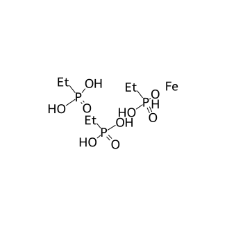 CCP(=O)(O)O.CCP(=O)(O)O.CCP(=O)(O)O.[Fe]